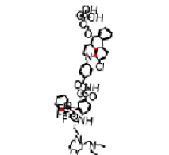 CCN(CC)C[C@H]1COCCN1CC[C@H](CSc1ccccc1)Nc1ccc(S(=O)(=O)NC(=O)c2ccc(N3CCC([C@@H](OCOP(=O)(O)O)c4ccccc4-c4ccc(Cl)cc4)CC3)cc2)cc1S(=O)(=O)C(F)(F)F